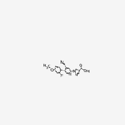 COc1ccc(-c2cnc(-n3cc(C(=O)O)cn3)cc2C#N)c(F)c1